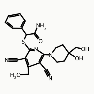 CCc1c(C#N)c(SC(C(N)=O)c2ccccc2)nc(N2CCC(O)(CO)CC2)c1C#N